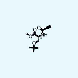 C#CC(=O)N[C@@H](COC(C)(C)C)C(=O)OC